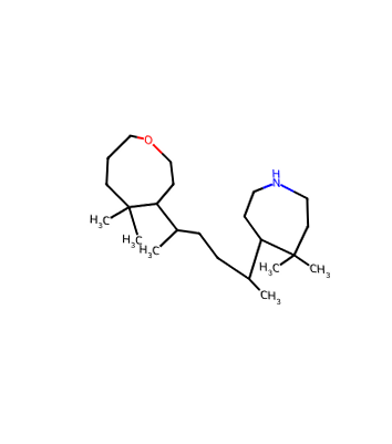 CC(CCC(C)C1CCNCCC1(C)C)C1CCOCCCC1(C)C